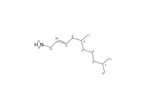 CC(C)CCCC(C)C/C=C/CN